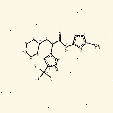 Cn1ccc(NC(=O)C(CC2CCOCC2)n2cnc(C(F)(F)F)c2)n1